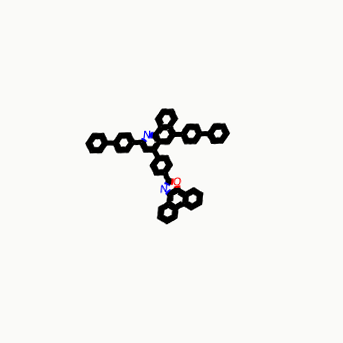 c1ccc(-c2ccc(-c3cc(-c4ccc(-c5nc6c7ccccc7c7ccccc7c6o5)cc4)c4cc(-c5ccc(-c6ccccc6)cc5)c5ccccc5c4n3)cc2)cc1